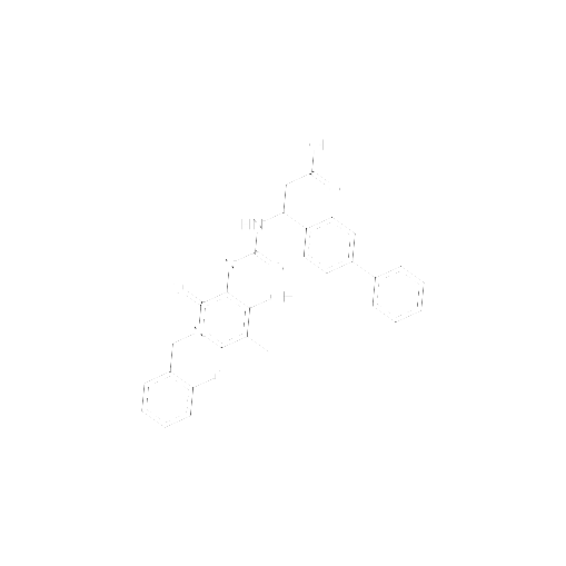 Cc1cn(Cc2ccccc2Cl)c(=O)c(NC(=O)NC(CC(=O)O)c2ccc(-c3ccccc3)cc2)c1O